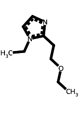 CCOCCc1nccn1CC